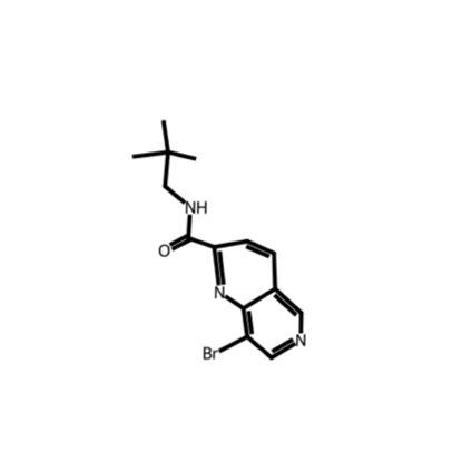 CC(C)(C)CNC(=O)c1ccc2cncc(Br)c2n1